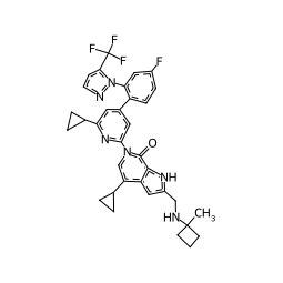 CC1(NCc2cc3c(C4CC4)cn(-c4cc(-c5ccc(F)cc5-n5nccc5C(F)(F)F)cc(C5CC5)n4)c(=O)c3[nH]2)CCC1